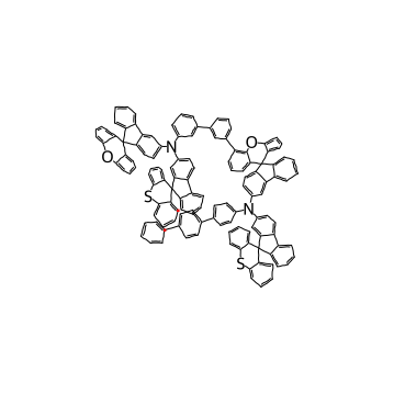 c1ccc(-c2ccc(-c3ccc(N(c4ccc5c(c4)-c4ccccc4C54c5ccccc5Oc5c(-c6cccc(-c7cccc(N(c8ccc9c(c8)-c8ccccc8C98c9ccccc9Oc9ccccc98)c8ccc9c(c8)C8(c%10ccccc%10Sc%10ccccc%108)c8ccccc8-9)c7)c6)cccc54)c4ccc5c(c4)C4(c6ccccc6Sc6ccccc64)c4ccccc4-5)cc3)cc2)cc1